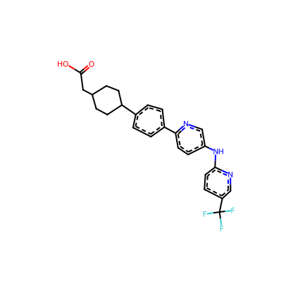 O=C(O)CC1CCC(c2ccc(-c3ccc(Nc4ccc(C(F)(F)F)cn4)cn3)cc2)CC1